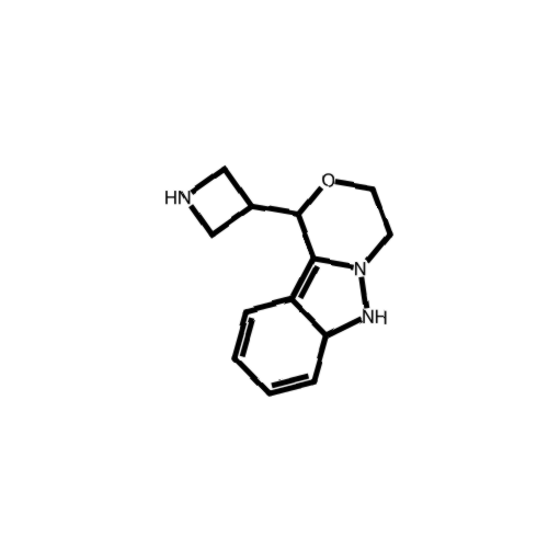 C1=CC2=C3C(C4CNC4)OCCN3NC2C=C1